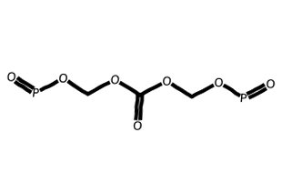 O=POCOC(=O)OCOP=O